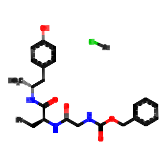 CC(=O)Cl.CC(C)C[C@H](NC(=O)CNC(=O)OCc1ccccc1)C(=O)N[C@@H](Cc1ccc(O)cc1)C(=O)O